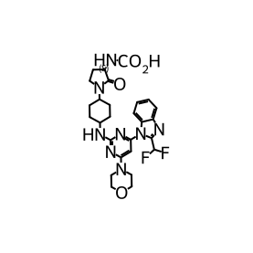 O=C(O)N[C@H]1CCN(C2CCC(Nc3nc(N4CCOCC4)cc(-n4c(C(F)F)nc5ccccc54)n3)CC2)C1=O